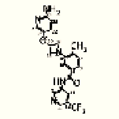 Cc1ccc(C(=O)Nc2cncc(C(F)(F)F)c2)cc1N1CC(Oc2ccc(N)nc2)C1